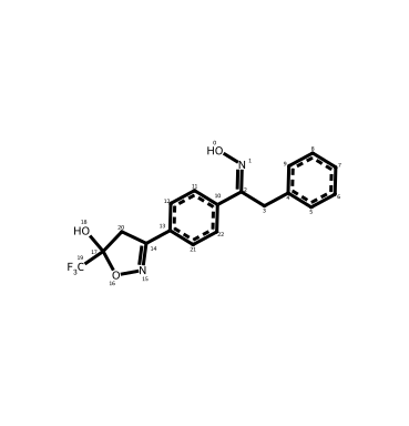 ON=C(Cc1ccccc1)c1ccc(C2=NOC(O)(C(F)(F)F)C2)cc1